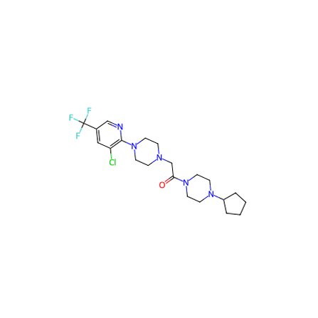 O=C(CN1CCN(c2ncc(C(F)(F)F)cc2Cl)CC1)N1CCN(C2CCCC2)CC1